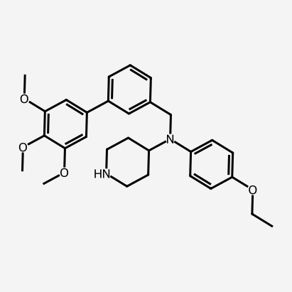 CCOc1ccc(N(Cc2cccc(-c3cc(OC)c(OC)c(OC)c3)c2)C2CCNCC2)cc1